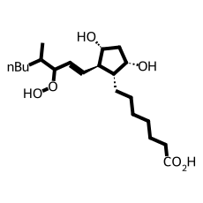 CCCCC(C)C(/C=C/[C@@H]1[C@@H](CCCCCCC(=O)O)[C@@H](O)C[C@H]1O)OO